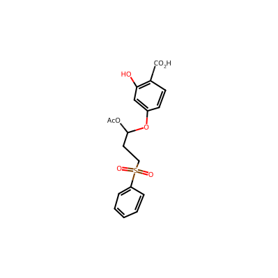 CC(=O)OC(CCS(=O)(=O)c1ccccc1)Oc1ccc(C(=O)O)c(O)c1